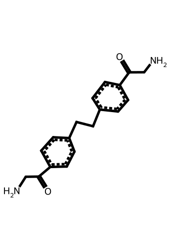 NCC(=O)c1ccc(CCc2ccc(C(=O)CN)cc2)cc1